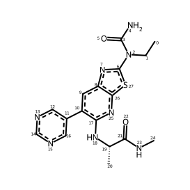 CCN(C(N)=O)c1nc2cc(-c3cncnc3)c(N[C@@H](C)C(=O)NC)nc2s1